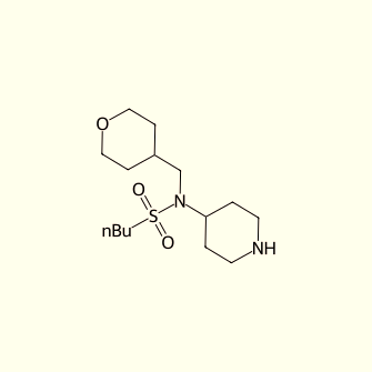 CCCCS(=O)(=O)N(CC1CCOCC1)C1CCNCC1